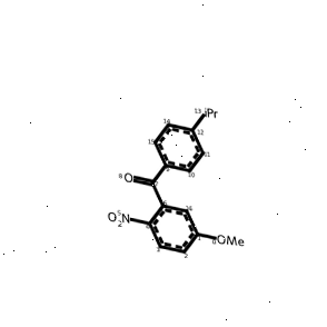 COc1ccc([N+](=O)[O-])c(C(=O)c2ccc(C(C)C)cc2)c1